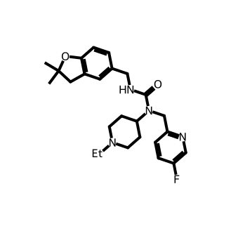 CCN1CCC(N(Cc2ccc(F)cn2)C(=O)NCc2ccc3c(c2)CC(C)(C)O3)CC1